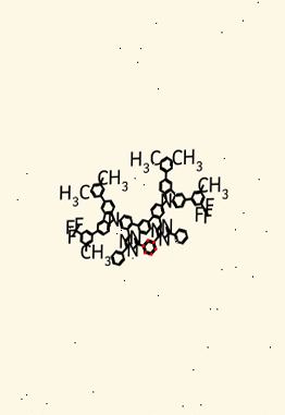 Cc1cc(C)cc(-c2ccc3c(c2)c2cc(-c4cc(C)cc(C(F)(F)F)c4)ccc2n3-c2ccc(-c3cccc(-c4ccc(-n5c6ccc(-c7cc(C)cc(C)c7)cc6c6cc(-c7cc(C)cc(C(F)(F)F)c7)ccc65)cc4-c4nc(-c5ccccc5)nc(-c5ccccc5)n4)c3)c(-c3nc(-c4ccccc4)nc(-c4ccccc4)n3)c2)c1